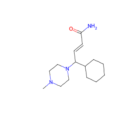 CN1CCN(C(C=CC(N)=O)C2CCCCC2)CC1